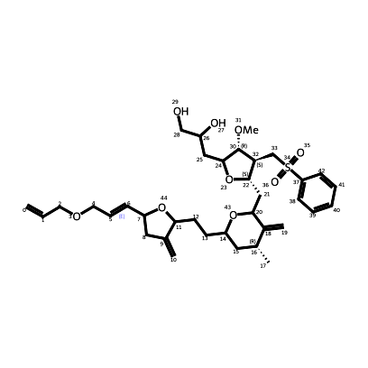 C=CCOC/C=C/C1CC(=C)C(CCC2C[C@@H](C)C(=C)C(C[C@@H]3OC(CC(O)CO)[C@H](OC)[C@H]3CS(=O)(=O)c3ccccc3)O2)O1